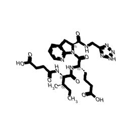 CC[C@H](C)[C@H](NC(=O)CCC(=O)O)C(=O)N[C@@H](CCCC(=O)O)C(=O)N1c2ncccc2C[C@H]1C(=O)NCc1nn[nH]n1